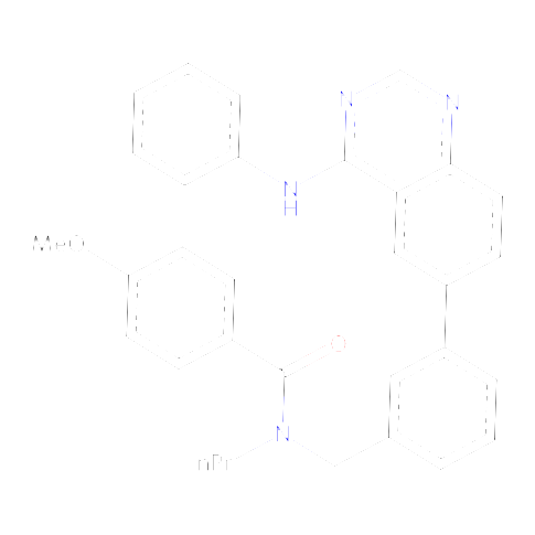 CCCN(Cc1cccc(-c2ccc3ncnc(Nc4ccccc4)c3c2)c1)C(=O)c1ccc(OC)cc1